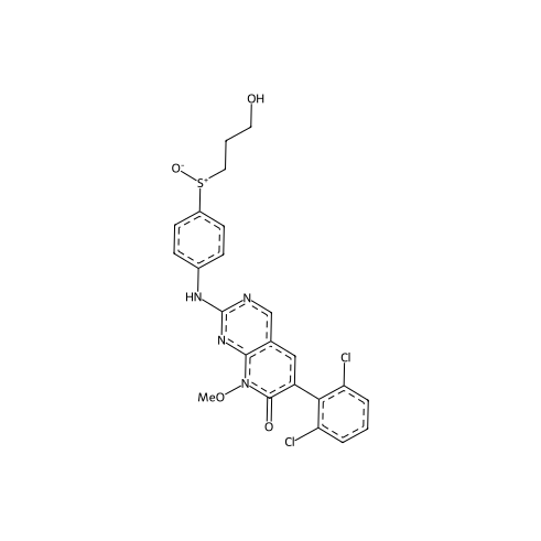 COn1c(=O)c(-c2c(Cl)cccc2Cl)cc2cnc(Nc3ccc([S+]([O-])CCCO)cc3)nc21